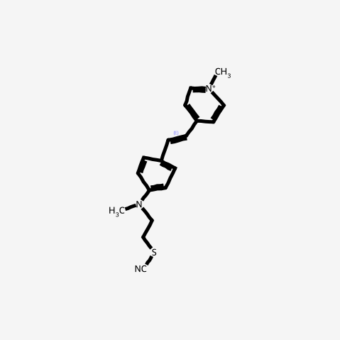 CN(CCSC#N)c1ccc(/C=C/c2cc[n+](C)cc2)cc1